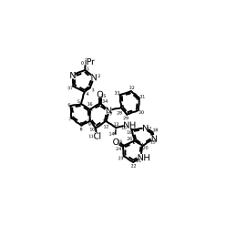 CC(C)c1ncc(-c2cccc3c(Cl)c([C@H](C)Nc4ncnc5[nH]ccc(=O)c45)n(-c4ccccc4)c(=O)c23)cn1